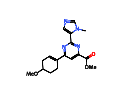 COC(=O)c1cc(C2=CCC(OC)CC2)nc(-c2cncn2C)n1